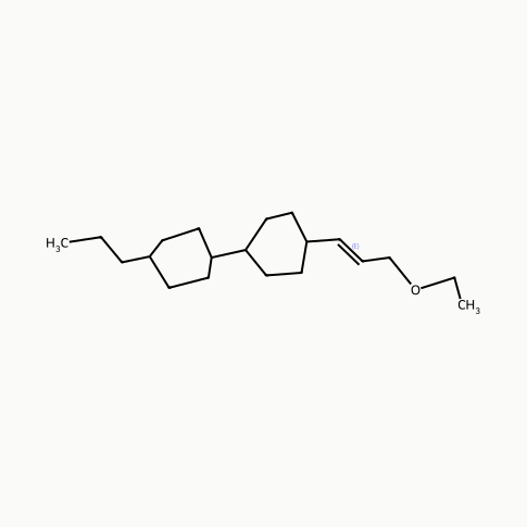 CCCC1CCC(C2CCC(/C=C/COCC)CC2)CC1